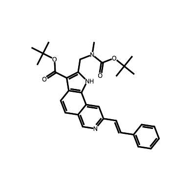 CN(Cc1[nH]c2c(ccc3cnc(C=Cc4ccccc4)cc32)c1C(=O)OC(C)(C)C)C(=O)OC(C)(C)C